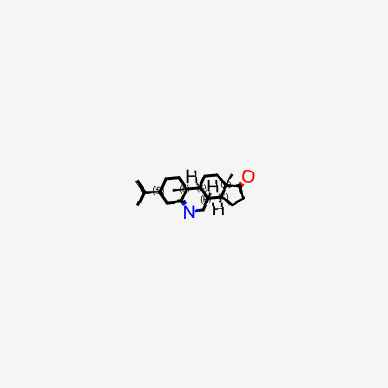 CC(C)[C@H]1CC[C@@]2(C)C(=NC[C@@H]3[C@@H]2CC[C@]2(C)C(=O)CC[C@@H]32)C1